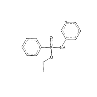 CCOP(=O)(Nc1cccnc1)c1ccccc1